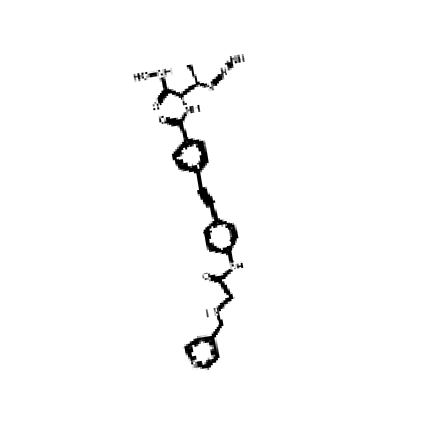 C[C@@H](N=[N+]=N)[C@H](NC(=O)c1ccc(C#Cc2ccc(NC(=O)CNCc3ccncc3)cc2)cc1)C(=O)NO